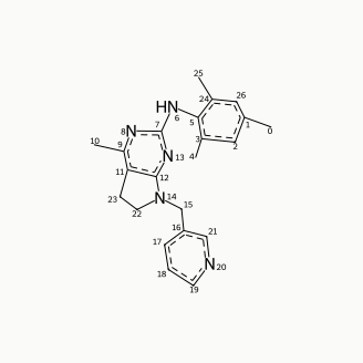 Cc1cc(C)c(Nc2nc(C)c3c(n2)N(Cc2cccnc2)CC3)c(C)c1